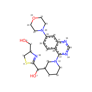 OCC1CSC(C(O)C2CCCN(c3ncnc4cc(N5CCOCC5)ccc34)C2)=N1